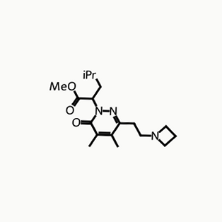 COC(=O)C(CC(C)C)n1nc(CCN2CCC2)c(C)c(C)c1=O